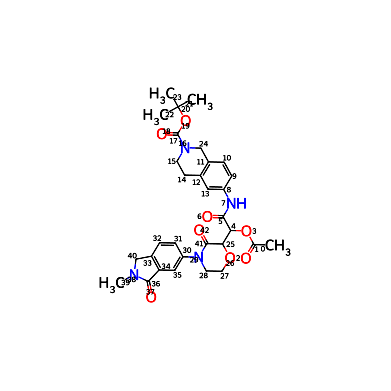 CC(=O)OC(C(=O)Nc1ccc2c(c1)CCN(C(=O)OC(C)(C)C)C2)C1OCCN(c2ccc3c(c2)C(=O)N(C)C3)C1=O